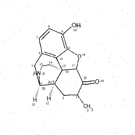 CC1C[C@H]2[C@H]3Cc4ccc(O)c5c4[C@@]2(CCN3)C(O5)C1=O